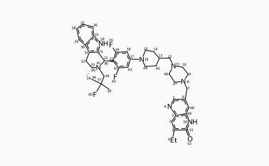 CCc1cc2ncc(CN3CCN(CC4CCN(c5cc(F)c([C@@H]6c7[nH]c8ccccc8c7C[C@@H](C)N6CC(C)(C)F)c(F)c5)CC4)CC3)cc2[nH]c1=O